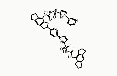 O=C(Nc1c2c(cc3c1CC(c1ccc(-n4ccc(S(=O)(=O)NC(=O)Nc5c6c(cc7c5CCC7)CCC6)n4)nc1)C3)CCC2)NS(=O)(=O)c1ccn(-c2cccnc2)n1